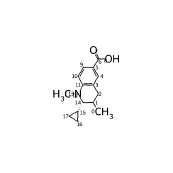 CC1Cc2cc(C(=O)O)ccc2N(C)[C@H]1C1CC1